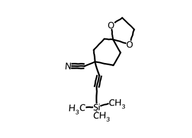 C[Si](C)(C)C#CC1(C#N)CCC2(CC1)OCCO2